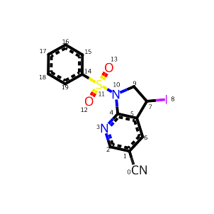 N#Cc1cnc2c(c1)C(I)CN2S(=O)(=O)c1ccccc1